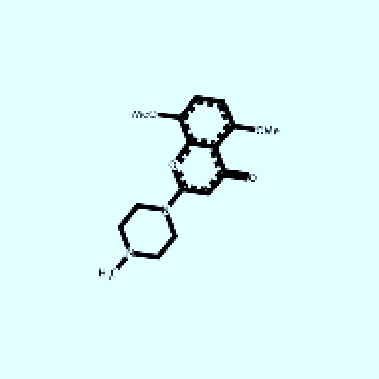 COc1ccc(OC)c2c(=O)cc(N3CCN(C)CC3)oc12